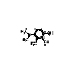 Cc1c(C(C)C)ccc(O)c1O